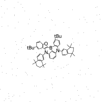 CC(C)(C)c1ccc2c(c1)B1c3oc4ccc(C(C)(C)C)cc4c3N(c3ccc4c(c3)C(C)(C)CCC4(C)C)c3cccc(c31)N2c1ccc2c(c1)C(C)(C)CCC2(C)C